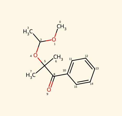 COC(C)OC(C)(C)C(=O)c1ccccc1